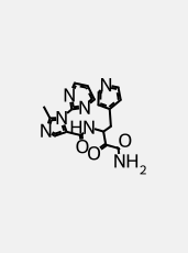 Cc1ncc(C(=O)NC(Cc2ccncc2)C(=O)C(N)=O)n1-c1ncccn1